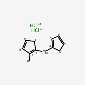 CC1=[C]([Ti][C]2=CC=CC2)CC=C1.Cl.Cl